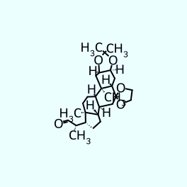 C[C@H](C=O)[C@H]1CC[C@H]2[C@@H]3CC4(OCCO4)[C@H]4C[C@@H]5OC(C)(C)O[C@@H]5C[C@]4(C)[C@H]3CC[C@]12C